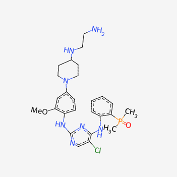 COc1cc(N2CCC(NCCN)CC2)ccc1Nc1ncc(Cl)c(Nc2ccccc2P(C)(C)=O)n1